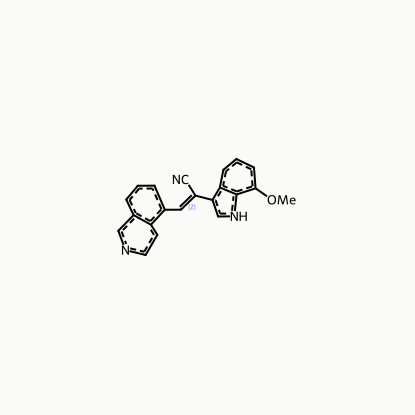 COc1cccc2c(/C(C#N)=C/c3cccc4cnccc34)c[nH]c12